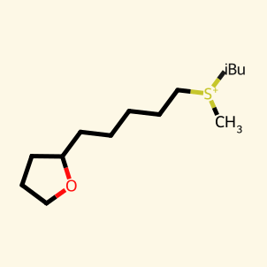 CCC(C)[S+](C)CCCCCC1CCCO1